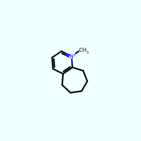 C[n+]1cccc2c1CCCCC2